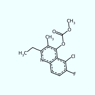 CCc1nc2ccc(F)c(Cl)c2c(OC(=O)OC)c1C